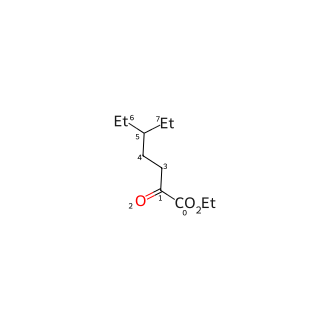 CCOC(=O)C(=O)CCC(CC)CC